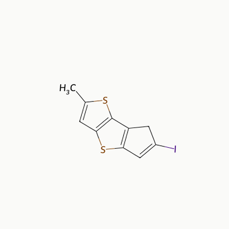 Cc1cc2sc3c(c2s1)CC(I)=C3